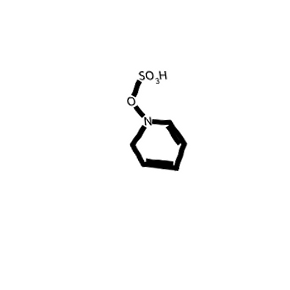 O=S(=O)(O)ON1C=CC=CC1